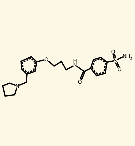 NS(=O)(=O)c1ccc(C(=O)NCCCOc2cccc(CN3CCCC3)c2)cc1